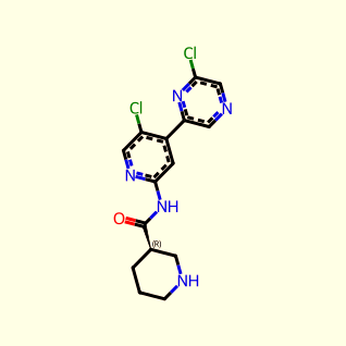 O=C(Nc1cc(-c2cncc(Cl)n2)c(Cl)cn1)[C@@H]1CCCNC1